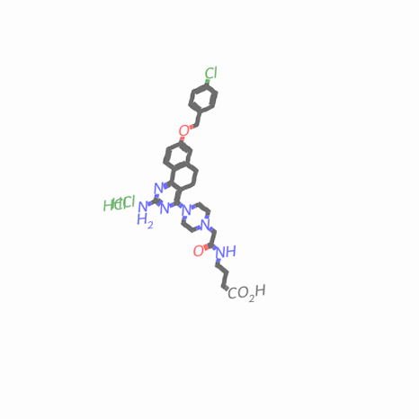 Cl.Cl.Nc1nc2c(c(N3CCN(CC(=O)NCCCC(=O)O)CC3)n1)CCc1cc(OCc3ccc(Cl)cc3)ccc1-2